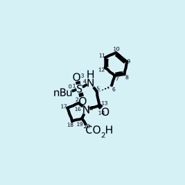 CCCCS(=O)(=O)N[C@H](Cc1ccccc1)C(=O)N1CCCC1C(=O)O